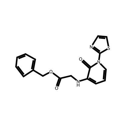 O=C(CNc1cccn(-c2nccs2)c1=O)OCc1ccccc1